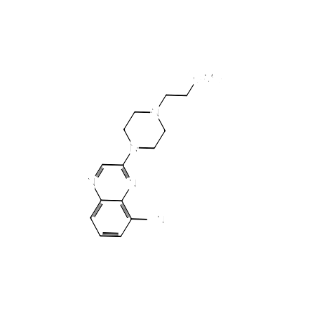 COCCN1CCN(c2cnc3cccc(C#N)c3n2)CC1